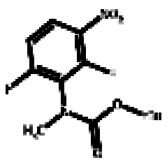 CN(C(=O)OC(C)(C)C)c1c(F)ccc([N+](=O)[O-])c1F